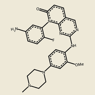 COc1cc(N2CCN(C)CC2)ccc1Nc1ncc2ccc(=O)n(-c3cc(N)ccc3F)c2n1